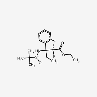 CCOC(=O)C(F)(F)[C@](CC)(N[S@@+]([O-])C(C)(C)C)c1ccccc1F